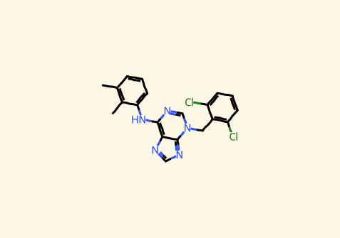 Cc1cccc(Nc2ncn(Cc3c(Cl)cccc3Cl)c3ncnc2-3)c1C